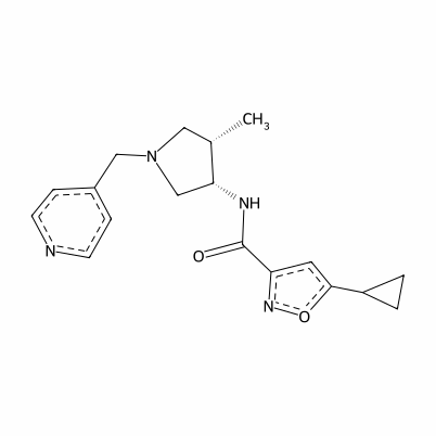 C[C@H]1CN(Cc2ccncc2)C[C@H]1NC(=O)c1cc(C2CC2)on1